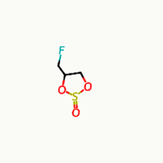 O=S1OCC(CF)O1